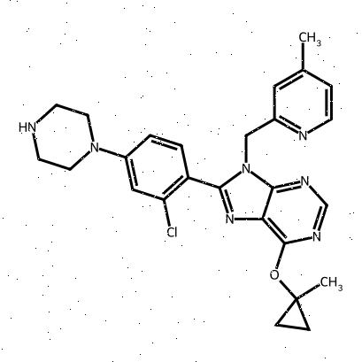 Cc1ccnc(Cn2c(-c3ccc(N4CCNCC4)cc3Cl)nc3c(OC4(C)CC4)ncnc32)c1